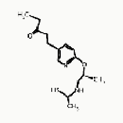 CCC(=O)CCc1ccc(O[C@@H](C)CNC(C)S)nc1